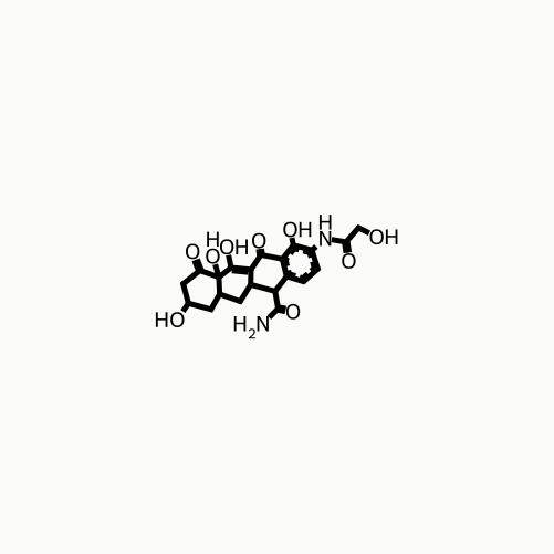 NC(=O)C1c2ccc(NC(=O)CO)c(O)c2C(=O)C2=C(O)C3(O)C(=O)CC(O)CC3CC21